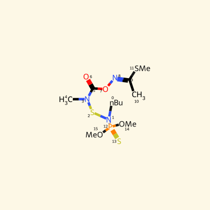 CCCCN(SN(C)C(=O)ON=C(C)SC)P(=S)(OC)OC